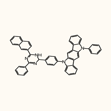 c1ccc(C2=NC(c3ccc(-n4c5ccccc5c5cc6c(cc54)c4ccccc4n6-c4ccccc4)cc3)NC(c3ccc4ccccc4c3)=N2)cc1